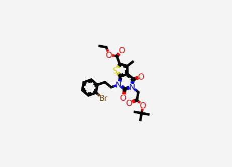 CCOC(=O)c1sc2c(c1C)c(=O)n(CC(=O)OC(C)(C)C)c(=O)n2CCc1ccccc1Br